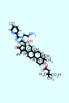 CC(C)C1=C2[C@H]3CC[C@@H]4[C@@]5(C)CC[C@H](OC(=O)CC(C)(C)C(=O)O)C(C)(C)[C@@H]5CC[C@@]4(C)[C@]3(C)CC[C@@]2([C@H](O)c2nnc(-c3ccc(Cl)cn3)n2CCN)CC1=O